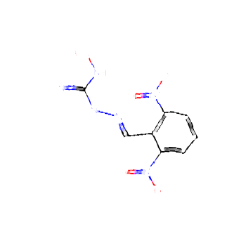 N=C(NO)N/N=C/c1c([N+](=O)[O-])cccc1[N+](=O)[O-]